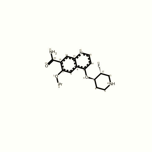 CC(C)Oc1cc2c(O[C@@H]3CCNC[C@H]3F)ccnc2cc1C(N)=O